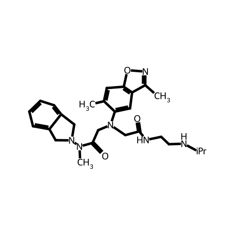 Cc1cc2onc(C)c2cc1N(CC(=O)NCCNC(C)C)CC(=O)N(C)N1Cc2ccccc2C1